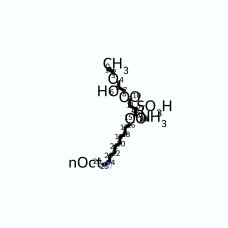 CC=COCC(O)COC(=O)CC(C(=O)OCCCCCCCC/C=C\CCCCCCCC)S(=O)(=O)O.N